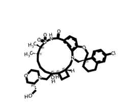 C[C@@H]1[C@@H](C)CCC[C@](O)(CN2CCOC[C@H]2CO)[C@@H]2CC[C@H]2CN2C[C@@]3(CCCc4cc(Cl)ccc43)COc3ccc(cc32)C(=O)NS1(=O)=O